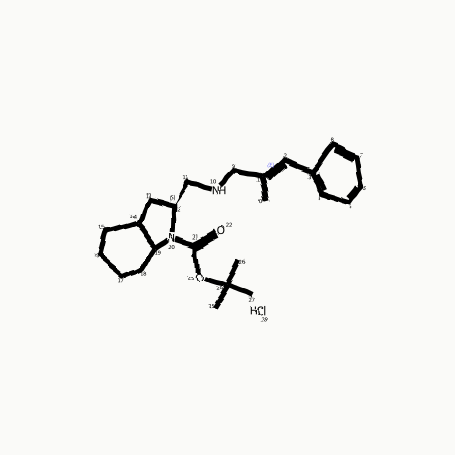 C/C(=C\c1ccccc1)CNC[C@@H]1CC2CCCCC2N1C(=O)OC(C)(C)C.Cl